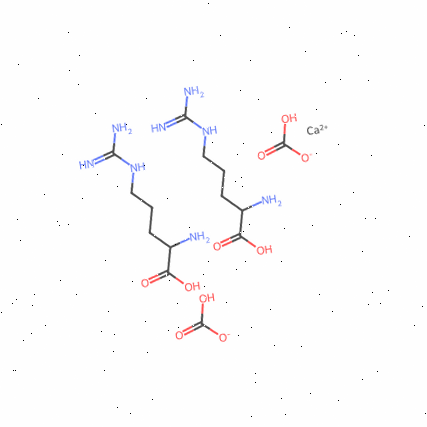 N=C(N)NCCCC(N)C(=O)O.N=C(N)NCCCC(N)C(=O)O.O=C([O-])O.O=C([O-])O.[Ca+2]